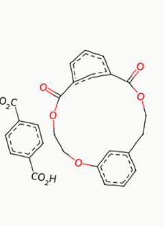 O=C(O)c1ccc(C(=O)O)cc1.O=C1OCCOc2cccc(c2)CCOC(=O)c2cccc1c2